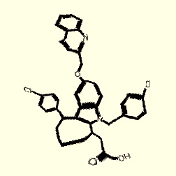 O=C(O)CC1CCCC(c2ccc(Cl)cc2)c2c1n(Cc1ccc(Cl)cc1)c1ccc(OCc3ccc4ccccc4n3)cc21